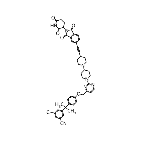 CC(C)(c1ccc(OCc2ccnc(N3CCC(N4CCC(C#Cc5ccc6c(c5)C(=O)N(C5CCC(=O)NC5=O)C6=O)CC4)CC3)n2)cc1)c1cc(Cl)cc(C#N)c1